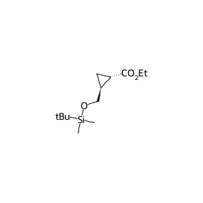 CCOC(=O)[C@H]1C[C@@H]1CO[Si](C)(C)C(C)(C)C